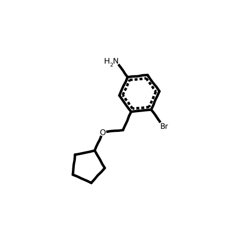 Nc1ccc(Br)c(COC2CCCC2)c1